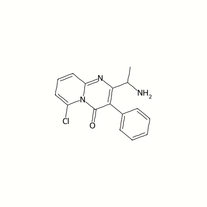 CC(N)c1nc2cccc(Cl)n2c(=O)c1-c1ccccc1